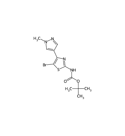 Cn1cc(-c2nc(NC(=O)OC(C)(C)C)sc2Br)cn1